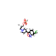 C[C@H](COS(C)(=O)=O)CN1CCC(c2onc3cc(F)ccc23)CC1